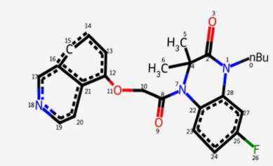 CCCCN1C(=O)C(C)(C)N(C(=O)COc2cccc3cnccc23)c2ccc(F)cc21